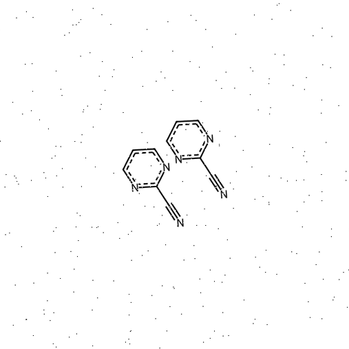 N#Cc1ncccn1.N#Cc1ncccn1